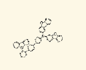 c1ccc(-n2c3ccccc3c3ccccc32)c(-c2ccc(-c3ccc(N(c4ccc5c(c4)oc4ccccc45)c4ccc5oc6ccccc6c5c4)cc3)cc2)c1